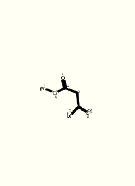 CCC(Br)CC(=O)OC(C)C